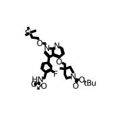 CC1(COc2ccnc3c2c(-c2ccc(CNS(C)(=O)=O)c(F)c2)cn3COCC[Si](C)(C)C)CCN(C(=O)OC(C)(C)C)CC1